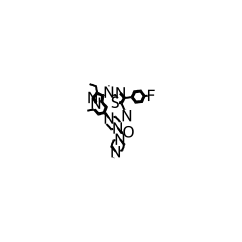 CCc1nn2c(C)cc(N3CCN(C(=O)N4CCN(C)CC4)CC3)cc2c1N(C)c1nc(-c2ccc(F)cc2)c(C#N)s1